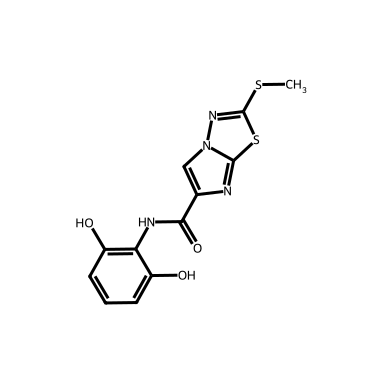 CSc1nn2cc(C(=O)Nc3c(O)cccc3O)nc2s1